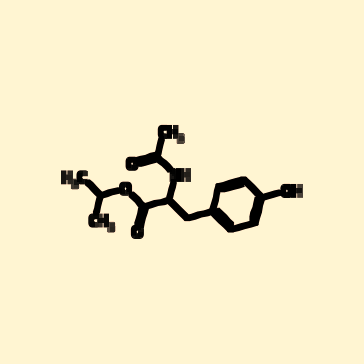 CC(=O)NC(Cc1ccc(O)cc1)C(=O)OC(C)C